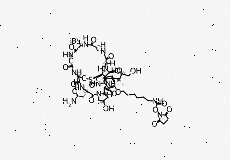 CC[C@H](C)[C@@H]1NC(=O)CNC(=O)[C@H]2Cc3c([nH]c4cc(OCCCCCCNC(=O)ON5C(=O)CCC5=O)ccc34)[S+]([O-])C[C@H](NC(=O)CNC1=O)C(=O)N[C@@H](CC(N)=O)C(=O)N1C[C@H](O)C[C@H]1C(=O)N[C@@H]([C@@H](C)[C@@H](O)CO)C(=O)N2